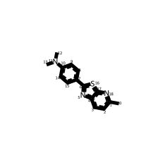 Cc1ccc2nc(-c3ccc(N(C)C)cc3)sc2n1